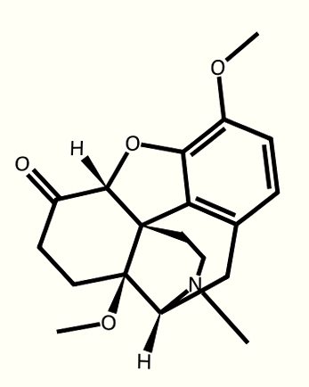 COc1ccc2c3c1O[C@H]1C(=O)CC[C@@]4(OC)[C@@H](C2)N(C)CC[C@]314